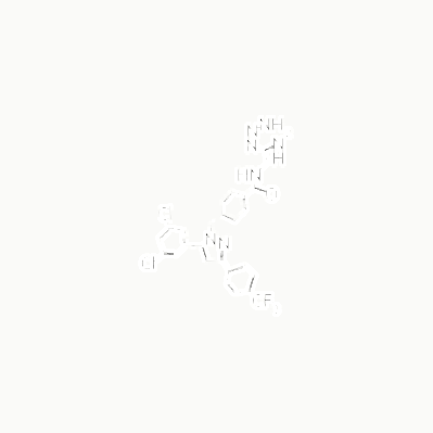 N=C(CNC(=O)c1ccc(Cn2nc(-c3ccc(C(F)(F)F)cc3)cc2-c2cc(Cl)cc(Cl)c2)cc1)/N=N\N